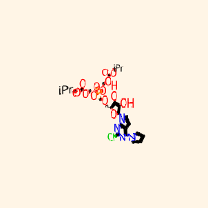 CC(C)OC(=O)OCOP(=O)(COC[C@H]1O[C@@H](n2ccc3c(N4CCCC4)nc(Cl)nc32)[C@H](O)[C@@H]1O)OCOC(=O)OC(C)C